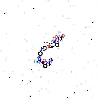 Cn1c(=O)n(C2CCC(=O)NC2=O)c2cccc(C#CCOC3CCN(C[C@H]4CC[C@H](n5cc(NC(=O)c6cccc7ccc(N8CCC8)nc67)c(C(F)F)n5)CC4)CC3)c21